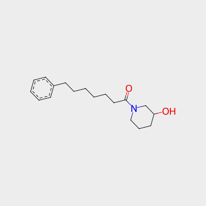 O=C(CCCCCCc1ccccc1)N1CCCC(O)C1